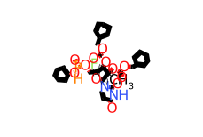 C[C@]1(OC(=O)OCc2ccccc2)[C@H](n2ccc(=O)[nH]c2=O)O[C@](F)(CO[PH](=O)Oc2ccccc2)[C@H]1OC(=O)OCc1ccccc1